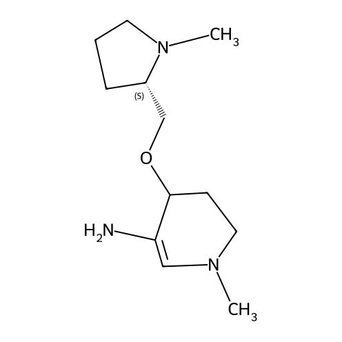 CN1C=C(N)C(OC[C@@H]2CCCN2C)CC1